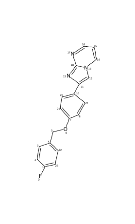 Fc1ccc(COc2ccc(-c3cn4cccnc4n3)cc2)cc1